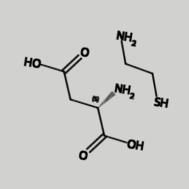 NCCS.N[C@@H](CC(=O)O)C(=O)O